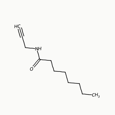 C#CCNC(=O)CCCCCCC